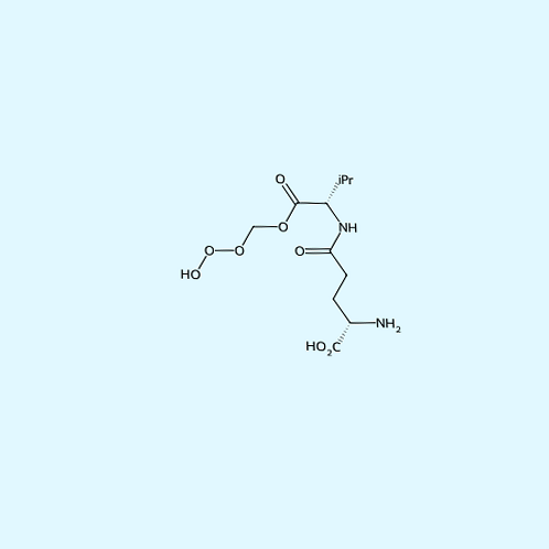 CC(C)[C@H](NC(=O)CC[C@H](N)C(=O)O)C(=O)OCOOO